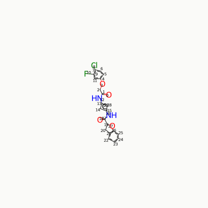 O=C(COc1ccc(Cl)c(F)c1)NC12CC(NC(=O)C3Cc4ccccc4O3)(C1)C2